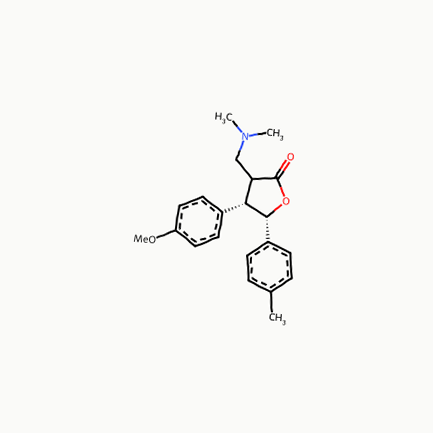 COc1ccc([C@@H]2C(CN(C)C)C(=O)O[C@@H]2c2ccc(C)cc2)cc1